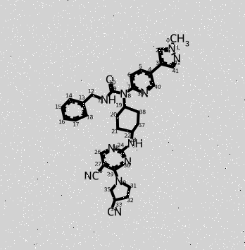 Cn1cc(-c2ccc(N(C(=O)NCc3ccccc3)C3CCC(Nc4ncc(C#N)c(N5CCC(C#N)C5)n4)CC3)nc2)cn1